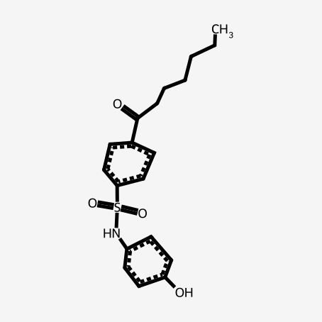 CCCCCCC(=O)c1ccc(S(=O)(=O)Nc2ccc(O)cc2)cc1